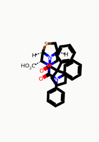 O=C(O)[C@@H]1[C@H]2SC[C@@H](CN1C(=O)N(c1ccccc1)c1ccccc1)N2C(=O)C1(c2ccccc2)CCCC1